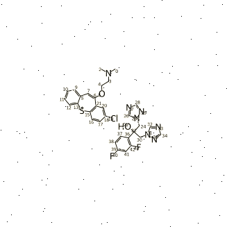 CN(C)CCOC1=Cc2ccccc2Sc2ccc(Cl)cc21.OC(Cn1cncn1)(Cn1cncn1)c1ccc(F)cc1F